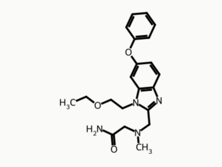 CCOCCn1c(CN(C)CC(N)=O)nc2ccc(Oc3ccccc3)cc21